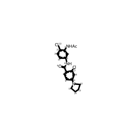 CC(=O)Nc1cc(NC(=O)c2ccc(N3CCCC3)cc2Cl)ccc1Cl